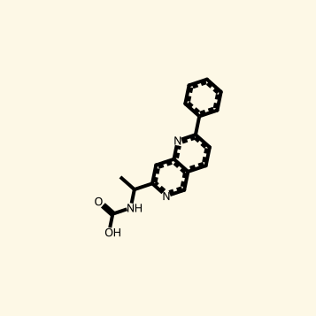 CC(NC(=O)O)c1cc2nc(-c3ccccc3)ccc2cn1